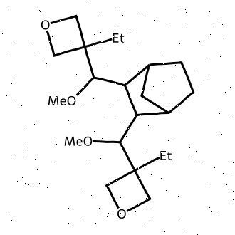 CCC1(C(OC)C2C3CCC(C3)C2C(OC)C2(CC)COC2)COC1